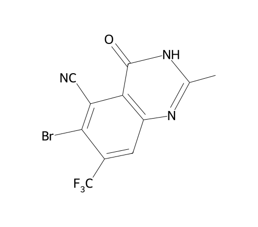 Cc1nc2cc(C(F)(F)F)c(Br)c(C#N)c2c(=O)[nH]1